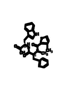 Cc1ccsc1C(=O)N(C)[C@@H](Cc1ccccc1)C(=O)N[C@@H](Cc1c[nH]c2ccccc12)C(=O)O